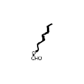 CC=CC=CCCOC=O